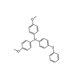 COc1ccc([S+](c2ccc(OC)cc2)c2ccc(Sc3ccccc3)cc2)cc1